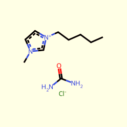 CCCCC[n+]1ccn(C)c1.NC(N)=O.[Cl-]